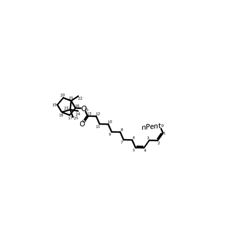 CCCCC/C=C\C/C=C\CCCCCCCC(=O)OC1CC2CCC1(C)C2(C)C